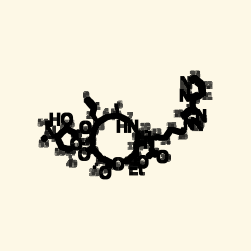 C=CC[C@H]1C[C@@H](C)CN[C@H](C)[C@H]2N(CCCCn3cc(-c4cccnn4)nn3)C(=O)O[C@]2(C)[C@@H](CC)OC(=O)[C@H](C)C(=O)[C@H](C)[C@H]1O[C@@H]1O[C@H](C)CC(N(C)C)C1O